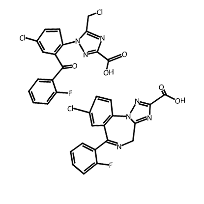 O=C(O)c1nc(CCl)n(-c2ccc(Cl)cc2C(=O)c2ccccc2F)n1.O=C(O)c1nc2n(n1)-c1ccc(Cl)cc1C(c1ccccc1F)=NC2